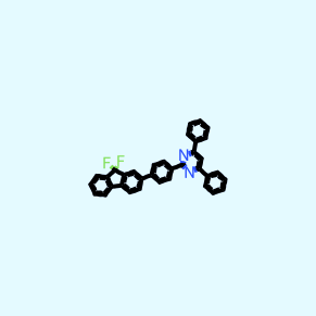 FC1(F)c2ccccc2-c2ccc(-c3ccc(-c4nc(-c5ccccc5)cc(-c5ccccc5)n4)cc3)cc21